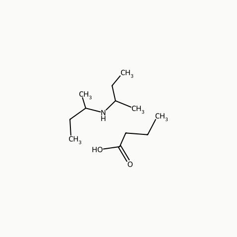 CCC(C)NC(C)CC.CCCC(=O)O